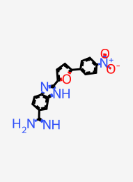 N=C(N)c1ccc2nc(-c3ccc(-c4ccc([N+](=O)[O-])cc4)o3)[nH]c2c1